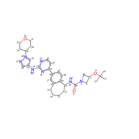 CC(C)(C)OC1CN(C(=O)NC2CCCCc3cc(-c4ccnc(Nc5cnn(C6CCOCC6)c5)n4)ccc32)C1